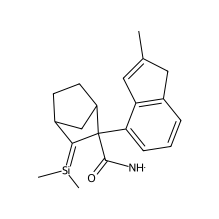 CC1=Cc2c(cccc2C2(C([NH])=O)C(=[Si](C)C)C3CCC2C3)C1